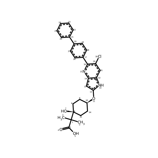 CC(C)(C(=O)O)[C@]1(O)CC[C@@H](Oc2cc3nc(-c4ccc(-c5ccccc5)cc4)c(Cl)cc3[nH]2)CC1